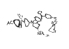 CC(=O)ON=C(C)c1ccc(-n2c3ccc(C(N)=O)cc3c3cc(C(=O)c4ccc(Sc5nc6ccccc6s5)cc4)ccc32)cc1